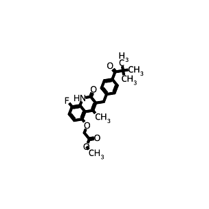 COC(=O)COc1ccc(F)c2[nH]c(=O)c(Cc3ccc(C(=O)C(C)(C)C)cc3)c(C)c12